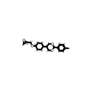 Cc1ccc(C2OCC(C3CCC(OCC4CO4)CC3)CO2)cc1